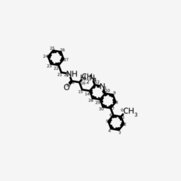 Cc1ccccc1-c1ccc2nc(N)c(CC(C)C(=O)NCc3ccccc3)cc2c1